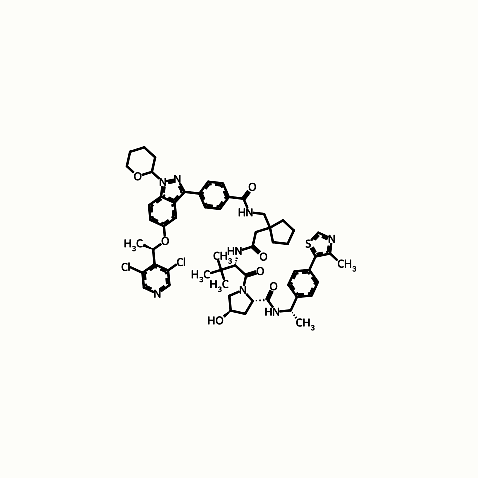 Cc1ncsc1-c1ccc([C@H](C)NC(=O)[C@@H]2C[C@@H](O)CN2C(=O)[C@@H](NC(=O)CC2(CNC(=O)c3ccc(-c4nn(C5CCCCO5)c5ccc(O[C@H](C)c6c(Cl)cncc6Cl)cc45)cc3)CCCC2)C(C)(C)C)cc1